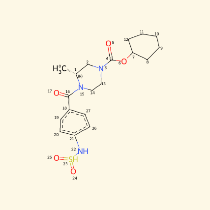 C[C@@H]1CN(C(=O)OC2CCCCC2)CCN1C(=O)c1ccc(N[SH](=O)=O)cc1